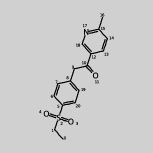 CCS(=O)(=O)c1ccc(CC(=O)c2ccc(C)nc2)cc1